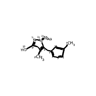 Cc1cccc(-c2c(C)c(O)nn2C(C)(C)C)c1